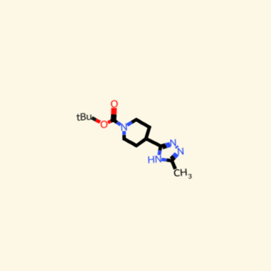 Cc1nnc(C2CCN(C(=O)OC(C)(C)C)CC2)[nH]1